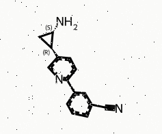 N#Cc1cccc(-c2ccc([C@H]3C[C@@H]3N)cn2)c1